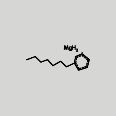 CCCCCCCc1c[c]ccc1.[MgH2]